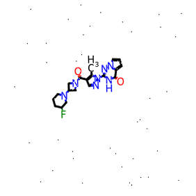 Cc1c(C(=O)N2CC(N3CCC[C@H](F)C3)C2)cnn1-c1nn2cccc2c(=O)[nH]1